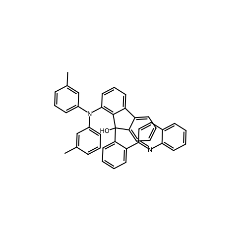 Cc1cccc(N(c2cccc(C)c2)c2cccc3c2C(O)(c2ccccc2-c2ccc4ccccc4n2)c2ccccc2-3)c1